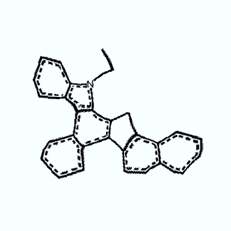 CCn1c2ccccc2c2c3ccccc3c3c(c21)Cc1c-3ccc2ccccc12